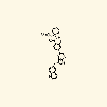 COCC1(NC(=O)c2ccc(-c3cnc4ncc(Cc5ccc6ncccc6c5)n4n3)cc2F)CCCCC1